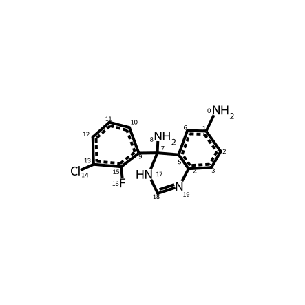 Nc1ccc2c(c1)C(N)(c1cccc(Cl)c1F)NC=N2